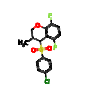 CC1COc2c(F)ccc(F)c2C1S(=O)(=O)c1ccc(Cl)cc1